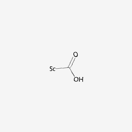 O=[C](O)[Sc]